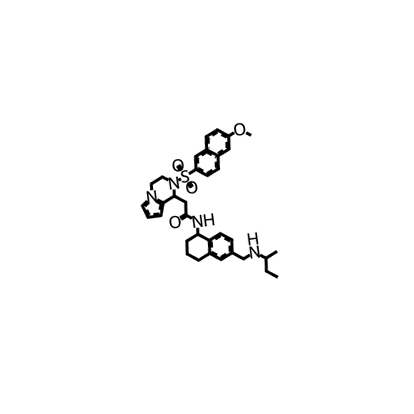 CCC(C)NCc1ccc2c(c1)CCCC2NC(=O)CC1c2cccn2CCN1S(=O)(=O)c1ccc2cc(OC)ccc2c1